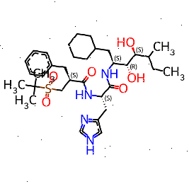 CCC(C)[C@H](O)[C@H](O)[C@H](CC1CCCCC1)NC(=O)[C@H](Cc1c[nH]cn1)NC(=O)[C@H](Cc1ccccc1)CS(=O)(=O)C(C)(C)C